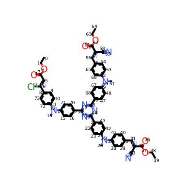 CCOC(=O)/C=C(\Cl)c1ccc(N(C)c2ccc(-c3nc(-c4ccc(N(C)c5ccc(/C=C(\C#N)C(=O)OCC)cc5)cc4)nc(-c4ccc(N(C)c5ccc(/C=C(\C#N)C(=O)OCC)cc5)cc4)n3)cc2)cc1